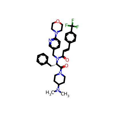 CN(C)C1CCN(C(=O)[C@H](Cc2ccccc2)N(Cc2ccc(N3CCOCC3)nc2)C(=O)C=Cc2ccc(C(F)(F)F)cc2)CC1